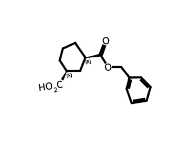 O=C(O)[C@H]1CCC[C@@H](C(=O)OCc2ccccc2)C1